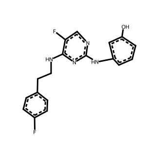 Oc1cccc(Nc2ncc(F)c(NCCc3ccc(F)cc3)n2)c1